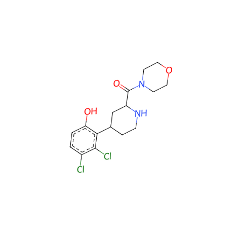 O=C(C1CC(c2c(O)ccc(Cl)c2Cl)CCN1)N1CCOCC1